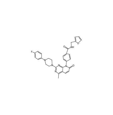 Cc1nc(N2CCN(c3ccc(F)cc3)CC2)nc2c1ccc(=O)n2-c1ccc(C(=O)NCc2ccco2)cc1